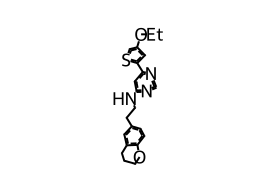 CCOc1csc(-c2cc(NCCc3ccc4c(c3)CCCO4)ncn2)c1